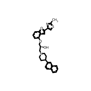 Cc1nc(-c2cc3c(OC[C@@H](O)CN4CCC(c5ccc6ccccc6c5)CC4)cccc3o2)cs1